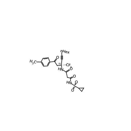 CCCCCCC#C[C@](CC(=O)c1ccc(C)cc1)(NC(=O)CC(=O)NS(=O)(=O)C1CC1)C(F)(F)F